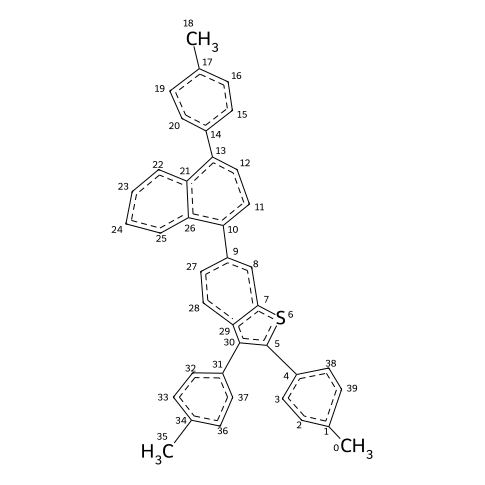 Cc1ccc(-c2sc3cc(-c4ccc(-c5ccc(C)cc5)c5ccccc45)ccc3c2-c2ccc(C)cc2)cc1